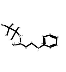 CC(C)(O)C(C)(C)OB(O)CCSc1ccccc1